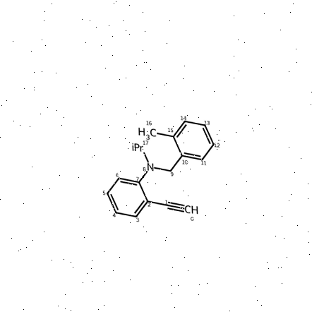 C#Cc1ccccc1N(Cc1ccccc1C)C(C)C